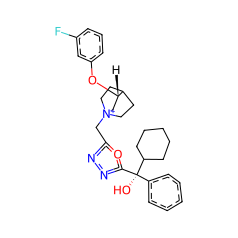 O[C@](c1ccccc1)(c1nnc(C[N+]23CCC(CC2)[C@@H](Oc2cccc(F)c2)C3)o1)C1CCCCC1